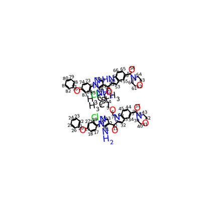 C[Si](C)(C)CCOCn1c(C(=O)c2cnn(-c3ccc(Oc4ccccc4)cc3Cl)c2N)cc2cc(C(=O)N3CCOCC3)ccc21.Nc1c(C(=O)c2cc3cc(C(=O)N4CCOCC4)ccc3[nH]2)cnn1-c1ccc(Oc2ccccc2)cc1Cl